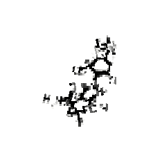 N#Cc1nn(-c2c(Cl)cc(S(F)(F)(F)(F)F)cc2Cl)cc1C1(C(N)=O)CC1(F)F